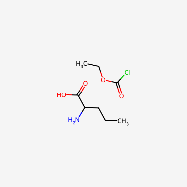 CCCC(N)C(=O)O.CCOC(=O)Cl